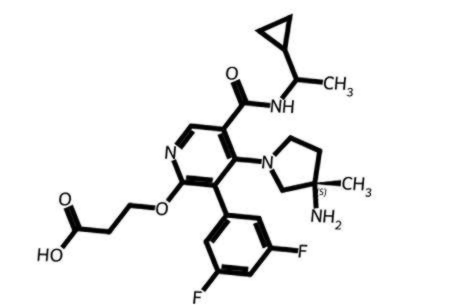 CC(NC(=O)c1cnc(OCCC(=O)O)c(-c2cc(F)cc(F)c2)c1N1CC[C@](C)(N)C1)C1CC1